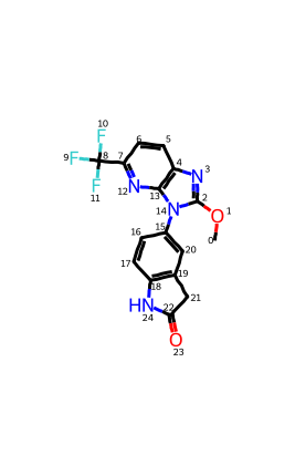 COc1nc2ccc(C(F)(F)F)nc2n1-c1ccc2c(c1)CC(=O)N2